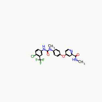 CNC(=O)c1cc(Oc2ccc(N(C)C(=O)Nc3ccc(Cl)c(C(F)(F)F)c3)cc2)ccn1